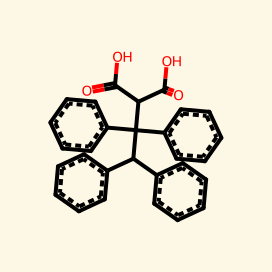 O=C(O)C(C(=O)O)C(c1ccccc1)(c1ccccc1)C(c1ccccc1)c1ccccc1